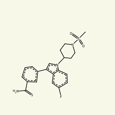 CS(=O)(=O)N1CCC(n2cc(-c3cccc(C(N)=S)c3)c3cc(F)ccc32)CC1